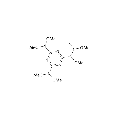 COC(C)N(OC)c1nc(N(OC)OC)nc(N(OC)OC)n1